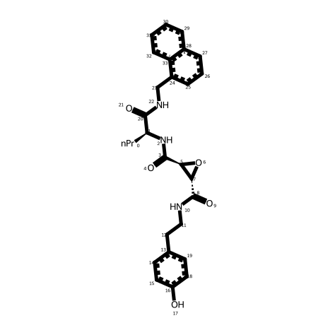 CCC[C@H](NC(=O)[C@H]1O[C@@H]1C(=O)NCCc1ccc(O)cc1)C(=O)NCc1cccc2ccccc12